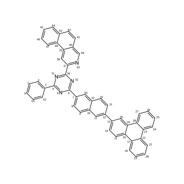 c1ccc(-c2nc(-c3ccc4cc(-c5ccc6c7ccccc7c7ccccc7c6c5)ccc4c3)nc(-c3cc4c(ccc5ccccc54)cn3)n2)cc1